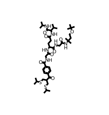 CC(C)NC(=O)C(NC(=O)CCC(NC(=O)CNC(=O)c1ccc(C(=O)C(CSC(C)C)CSC(C)C)cc1)C(=O)NCC(=O)NC(C)(C)CCOC(C)(C)C)C(C)C